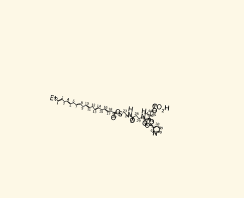 CCC=CCC=CCC=CCC=CCC=CCC=CCC(=O)OSCCNC(=O)CCNC(=O)[C@H](OC(=O)c1cccnc1)C(C)(C)COC(=O)O